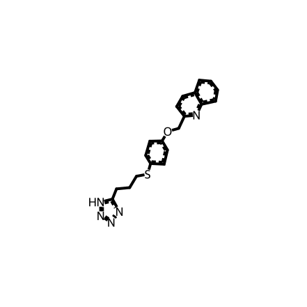 c1ccc2nc(COc3ccc(SCCCc4nnn[nH]4)cc3)ccc2c1